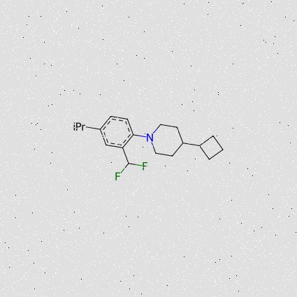 CC(C)c1ccc(N2CCC(C3CCC3)CC2)c(C(F)F)c1